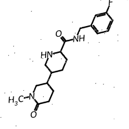 CN1CC(C2CCC(C(=O)NCc3cccc(F)c3)NC2)CCC1=O